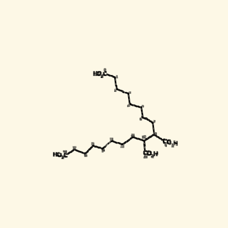 O=C(O)CCCCCCCC(C(=O)O)C(CCCCCCCC(=O)O)C(=O)O